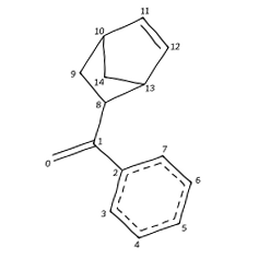 C=C(c1ccccc1)C1CC2C=CC1C2